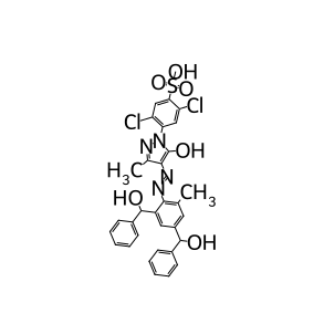 Cc1cc(C(O)c2ccccc2)cc(C(O)c2ccccc2)c1/N=N/c1c(C)nn(-c2cc(Cl)c(S(=O)(=O)O)cc2Cl)c1O